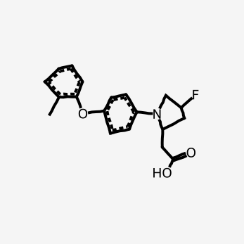 Cc1ccccc1Oc1ccc(N2CC(F)CC2CC(=O)O)cc1